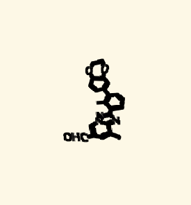 Cc1c(-c2ccc3c(c2)OCCO3)cccc1-c1nc2c(C)cc(C=O)cn2n1